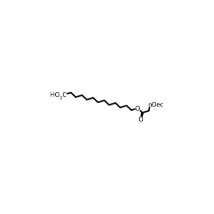 CCCCCCCCCCCC(=O)OCCCCCCCCCCCCC(=O)O